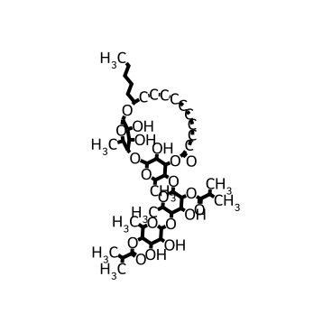 CCCCCC1CCCCCCCCCC(=O)OC2C(O)C(OC(C)C2OC2OC(C)C(OC3OC(C)C(OC(=O)C(C)C)C(O)C3O)C(O)C2OC(=O)C(C)C)OC2C(C)OC(O1)C(O)C2O